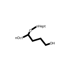 CCCCCCCCC(CCCO)OCCCCCCC